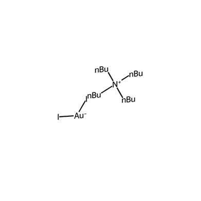 CCCC[N+](CCCC)(CCCC)CCCC.[I][Au-][I]